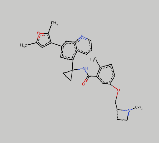 Cc1cc(-c2cc(C3(NC(=O)c4cc(OCC5CCN5C)ccc4C)CC3)c3cccnc3c2)c(C)o1